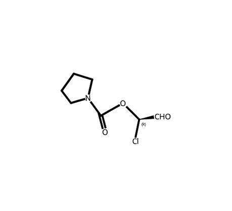 O=C[C@@H](Cl)OC(=O)N1CCCC1